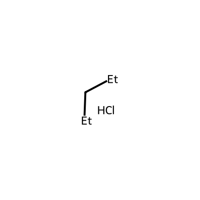 Cl.[CH2]CCCC